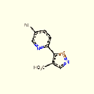 N#Cc1ccc(-c2sncc2C(=O)O)nc1